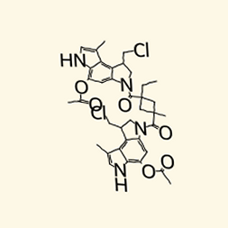 CCC1(C(=O)N2CC(CCl)c3c2cc(OC(C)=O)c2[nH]cc(C)c32)CC(C)(C(=O)N2CC(CCl)c3c2cc(OC(C)=O)c2[nH]cc(C)c32)C1